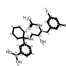 CC(=O)N[C@@H](Cc1cc(F)cc(F)c1)[C@H](O)CNC1(c2cccc(B(O)O)c2)CCCCC1